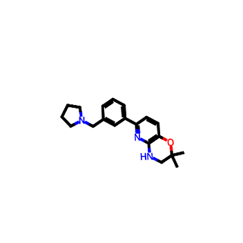 CC1(C)CNc2nc(-c3cccc(CN4CCCC4)c3)ccc2O1